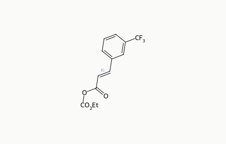 CCOC(=O)OC(=O)/C=C/c1cccc(C(F)(F)F)c1